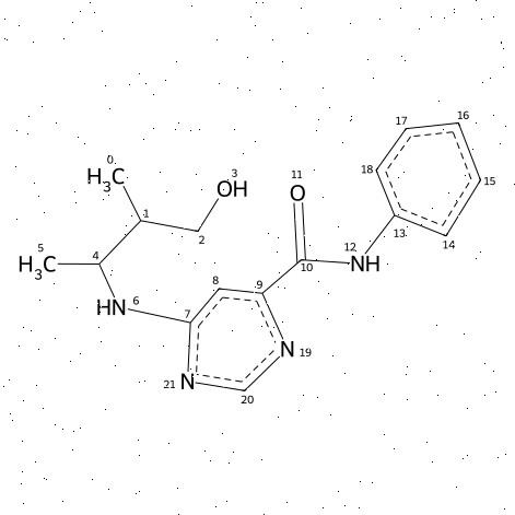 CC(CO)C(C)Nc1cc(C(=O)Nc2ccccc2)ncn1